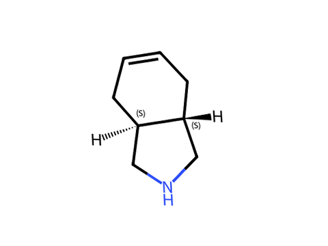 C1=CC[C@@H]2CNC[C@H]2C1